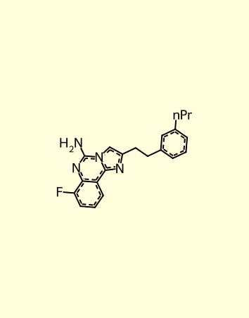 CCCc1cccc(CCc2cn3c(N)nc4c(F)cccc4c3n2)c1